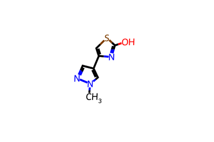 Cn1cc(-c2csc(O)n2)cn1